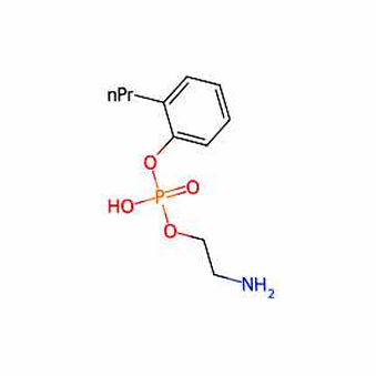 CCCc1ccccc1OP(=O)(O)OCCN